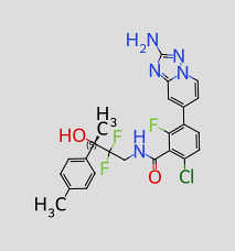 Cc1ccc([C@](C)(O)C(F)(F)CNC(=O)c2c(Cl)ccc(-c3ccn4nc(N)nc4c3)c2F)cc1